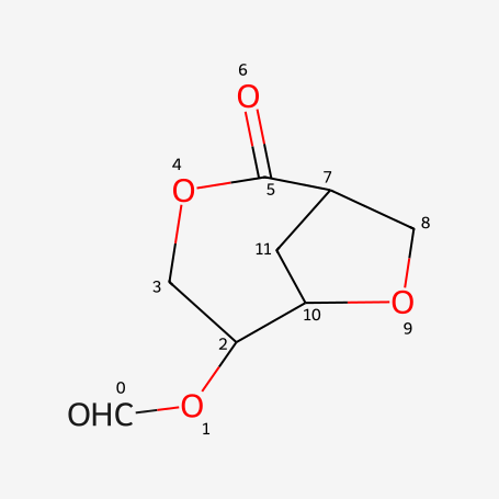 O=COC1COC(=O)C2COC1C2